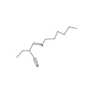 CCCCCC/N=C/C(C#N)CC